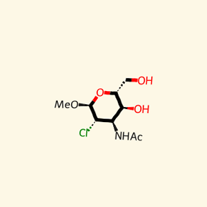 CO[C@H]1O[C@H](CO)[C@@H](O)[C@@H](NC(C)=O)[C@@H]1Cl